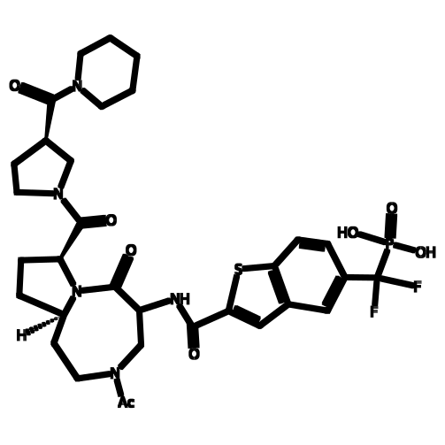 CC(=O)N1CC[C@H]2CC[C@@H](C(=O)N3CC[C@@H](C(=O)N4CCCCC4)C3)N2C(=O)C(NC(=O)c2cc3cc(C(F)(F)P(=O)(O)O)ccc3s2)C1